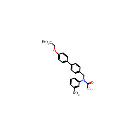 CCCCC(=O)N(Cc1ccc(-c2ccc(OCC(=O)OCC)cc2)cc1)c1cccc([N+](=O)[O-])c1